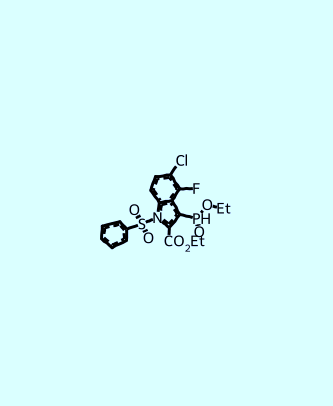 CCOC(=O)c1c([PH](=O)OCC)c2c(F)c(Cl)ccc2n1S(=O)(=O)c1ccccc1